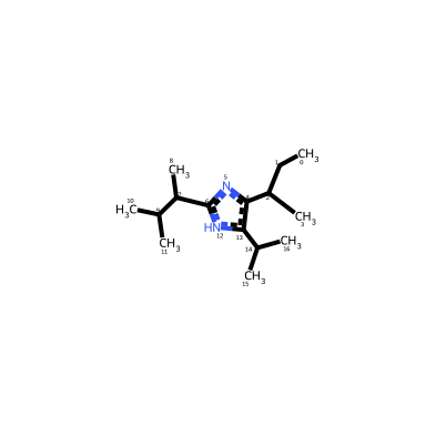 CCC(C)c1nc(C(C)C(C)C)[nH]c1C(C)C